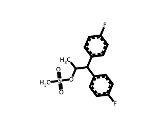 CC(OS(C)(=O)=O)C(c1ccc(F)cc1)c1ccc(F)cc1